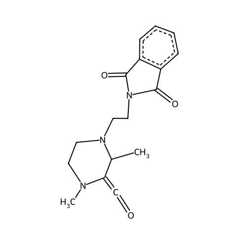 CC1C(=C=O)N(C)CCN1CCN1C(=O)c2ccccc2C1=O